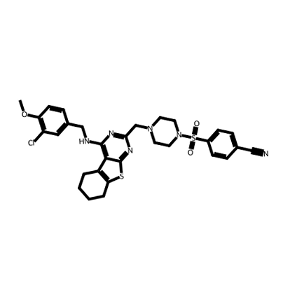 COc1ccc(CNc2nc(CN3CCN(S(=O)(=O)c4ccc(C#N)cc4)CC3)nc3sc4c(c23)CCCC4)cc1Cl